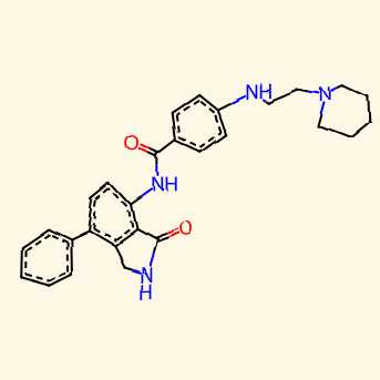 O=C(Nc1ccc(-c2ccccc2)c2c1C(=O)NC2)c1ccc(NCCN2CCCCC2)cc1